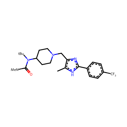 CNC(=O)N(C1CCN(Cc2nc(-c3ccc(C(F)(F)F)cc3)[nH]c2C)CC1)C(C)(C)C